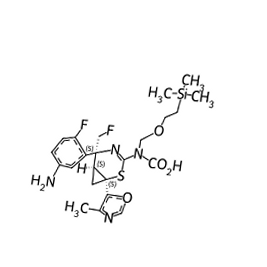 Cc1ncoc1[C@]12C[C@H]1[C@@](CF)(c1cc(N)ccc1F)N=C(N(COCC[Si](C)(C)C)C(=O)O)S2